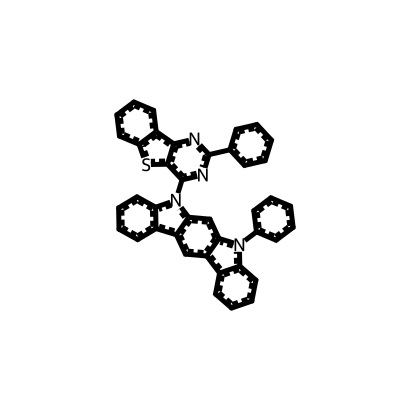 c1ccc(-c2nc(-n3c4ccccc4c4cc5c6ccccc6n(-c6ccccc6)c5cc43)c3sc4ccccc4c3n2)cc1